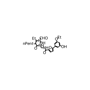 CCCCC[C@@H](C(=O)NCNC(=O)c1ccc(-c2cc(O)cc(OCC)c2)o1)[C@@H](CC)N(O)C=O